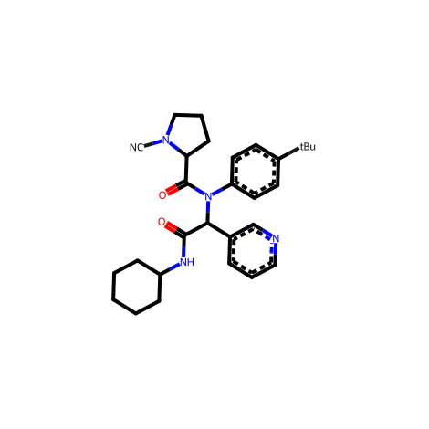 CC(C)(C)c1ccc(N(C(=O)C2CCCN2C#N)C(C(=O)NC2CCCCC2)c2cccnc2)cc1